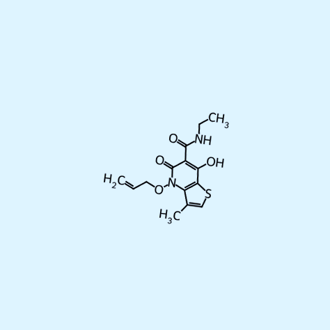 C=CCOn1c(=O)c(C(=O)NCC)c(O)c2scc(C)c21